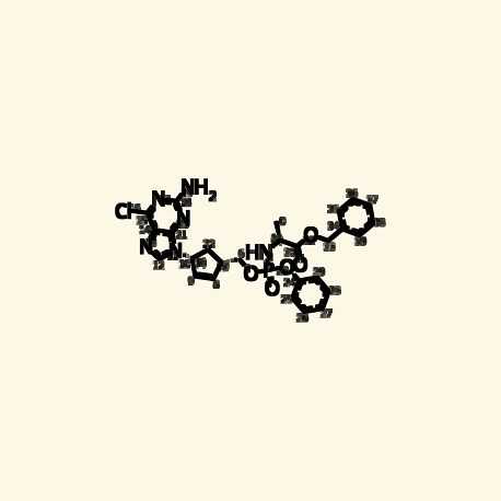 C[C@H](NP(=O)(OC[C@@H]1C=C[C@H](n2cnc3c(Cl)nc(N)nc32)C1)Oc1ccccc1)C(=O)OCc1ccccc1